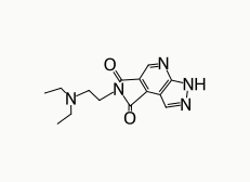 CCN(CC)CCN1C(=O)c2cnc3[nH]ncc3c2C1=O